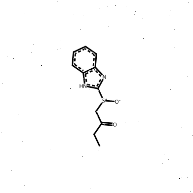 CCC(=O)C[S+]([O-])c1nc2ccccc2[nH]1